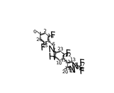 Cc1cc(F)c(CNc2ccc(-c3cn(C(F)F)nc3C)c(F)c2)c(F)c1